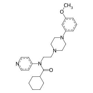 COc1cccc(N2CCN(CCN(C(=O)C3CCCCC3)c3ccncc3)CC2)c1